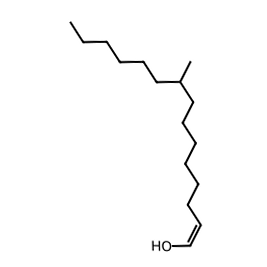 CCCCCCC(C)CCCCCC/C=C\O